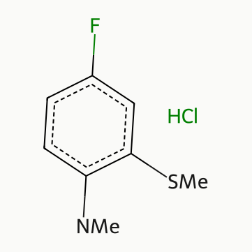 CNc1ccc(F)cc1SC.Cl